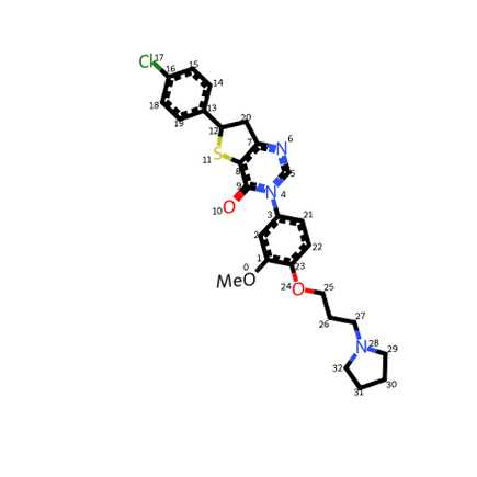 COc1cc(-n2cnc3c(c2=O)SC(c2ccc(Cl)cc2)C3)ccc1OCCCN1CCCC1